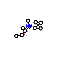 c1ccc(-c2ccc3oc4cc(-c5cc(-c6ccc7c(c6)C(c6ccccc6)(c6ccccc6)c6ccccc6-7)nc(-c6ccccc6)n5)c5ccccc5c4c3c2)cc1